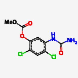 COC(=O)Oc1cc(NC(N)=O)c(Cl)cc1Cl